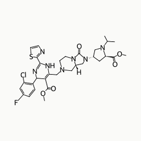 COC(=O)C1=C(CN2CCN3C(=O)N([C@H]4C[C@H](C(=O)OC)N(C(C)C)C4)C[C@@H]3C2)NC(c2nccs2)=NC1c1ccc(F)cc1Cl